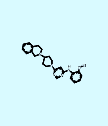 CCOc1ccccc1Nc1cc(N2CCC(N3CCc4ccccc4C3)CC2)ncn1